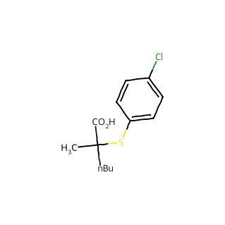 CCCCC(C)(Sc1ccc(Cl)cc1)C(=O)O